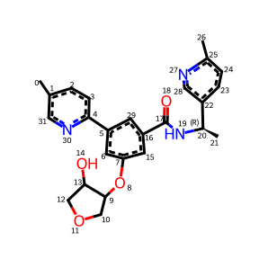 Cc1ccc(-c2cc(OC3COCC3O)cc(C(=O)N[C@H](C)c3ccc(C)nc3)c2)nc1